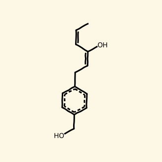 C/C=C\C(O)=C/Cc1ccc(CO)cc1